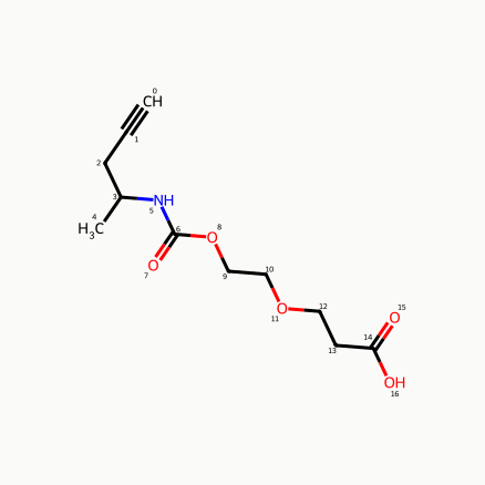 C#CCC(C)NC(=O)OCCOCCC(=O)O